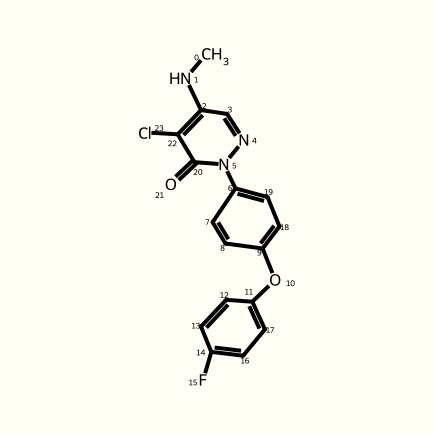 CNc1cnn(-c2ccc(Oc3ccc(F)cc3)cc2)c(=O)c1Cl